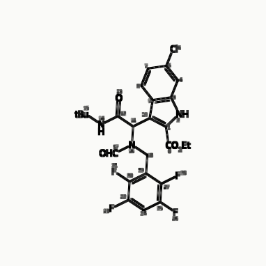 CCOC(=O)c1[nH]c2cc(Cl)ccc2c1C(C(=O)NC(C)(C)C)N(C=O)Cc1c(F)c(F)cc(F)c1F